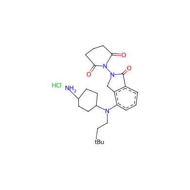 CC(C)(C)CCN(c1cccc2c1CN(N1C(=O)CCCC1=O)C2=O)C1CCC(N)CC1.Cl